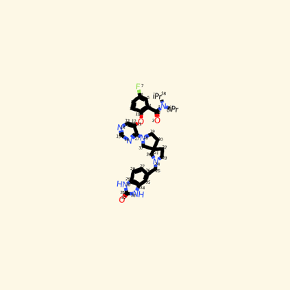 CC(C)N(C(=O)c1cc(F)ccc1Oc1cncnc1N1CCC2(CCN(Cc3ccc4[nH]c(=O)[nH]c4c3)C2)C1)C(C)C